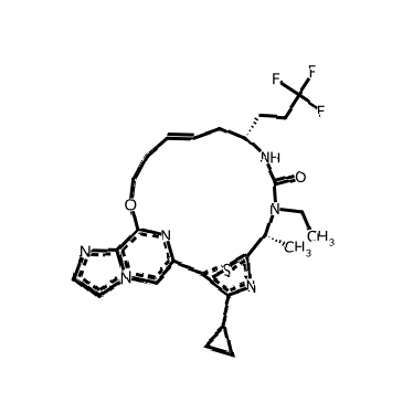 CCN1C(=O)N[C@@H](CCC(F)(F)F)C/C=C/CCOc2nc(cn3ccnc23)-c2sc(nc2C2CC2)[C@H]1C